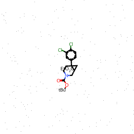 CCOC(=O)C12CN(C(=O)OC(C)(C)C)CCC1(c1ccc(Cl)c(Cl)c1)C2